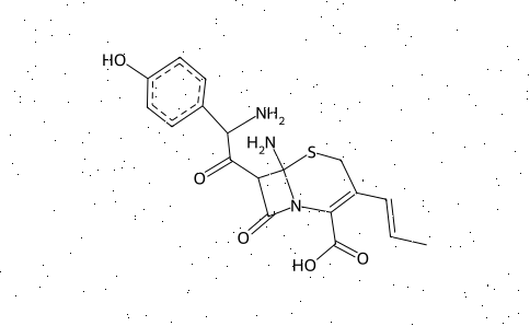 CC=CC1=C(C(=O)O)N2C(=O)C(C(=O)C(N)c3ccc(O)cc3)C2(N)SC1